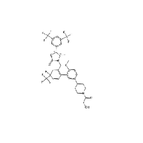 COc1ccc(C2CCN(C(=O)CO)CC2)cc1C1=C(CN2C(=O)O[C@H](c3cc(C(F)(F)F)cc(C(F)(F)F)c3)[C@@H]2C)CC(F)(C(F)(F)F)C=C1